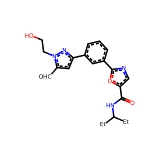 CCC(CC)NC(=O)c1cnc(-c2cccc(-c3cc(C=O)n(CCO)n3)c2)o1